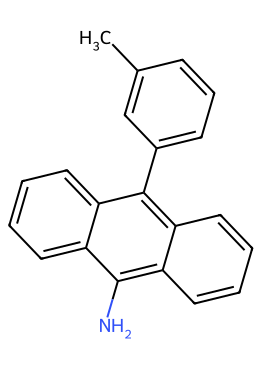 Cc1cccc(-c2c3ccccc3c(N)c3ccccc23)c1